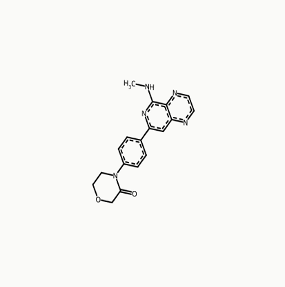 CNc1nc(-c2ccc(N3CCOCC3=O)cc2)cc2nccnc12